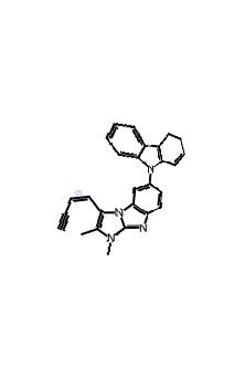 C#C/C=C\c1c(C)n(C)c2nc3ccc(-n4c5c(c6ccccc64)CCC=C5)cc3n12